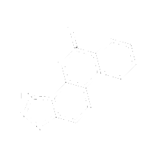 O=c1oc2c(ccc3nn[nH]c32)c2ccccc12